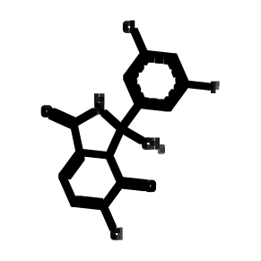 CC1(c2cc(F)cc(Cl)c2)NC(=O)C2=CC=C(Cl)C(=O)C21